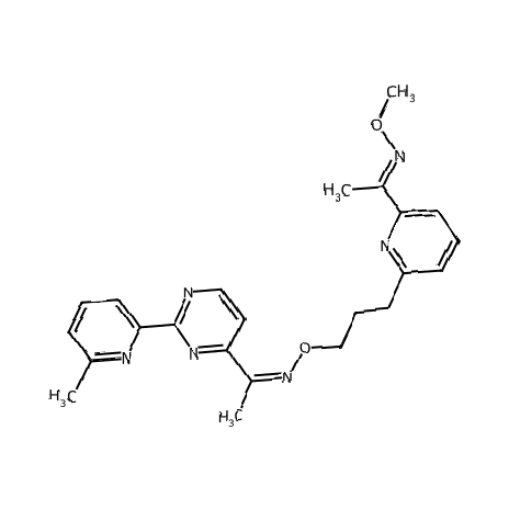 CO/N=C(\C)c1cccc(CCCON=C(C)c2ccnc(-c3cccc(C)n3)n2)n1